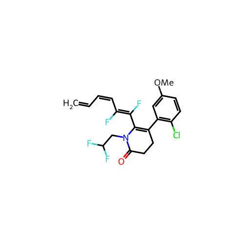 C=C/C=C\C(F)=C(/F)C1=C(c2cc(OC)ccc2Cl)CCC(=O)N1CC(F)F